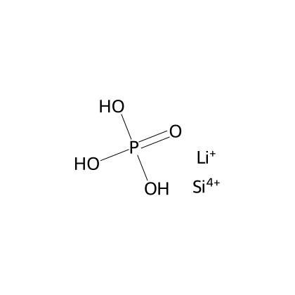 O=P(O)(O)O.[Li+].[Si+4]